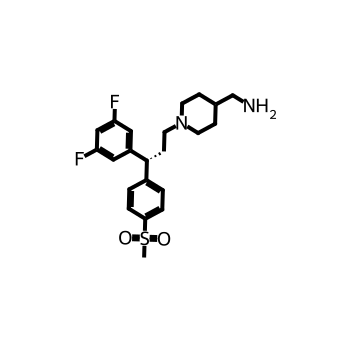 CS(=O)(=O)c1ccc([C@@H](CCN2CCC(CN)CC2)c2cc(F)cc(F)c2)cc1